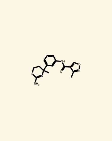 Cc1nocc1C(=O)Nc1cccc(C2(C)CCSC(N)=N2)c1